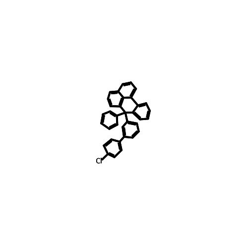 Clc1ccc(-c2cccc(C3(c4ccccc4)c4ccccc4-c4cccc5cccc3c45)c2)cc1